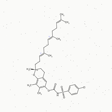 CC(C)=CCC/C(C)=C/CC/C(C)=C/CC[C@]1(C)CCc2cc(OC(=O)NS(=O)(=O)c3ccc(Cl)cc3)c(C)c(C)c2O1